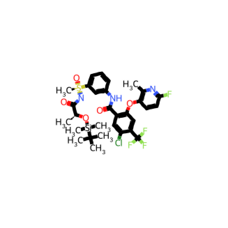 Cc1nc(F)ccc1Oc1cc(C(F)(F)F)c(Cl)cc1C(=O)Nc1cccc([S@@](C)(=O)=NC(=O)[C@@H](C)O[Si](C)(C)C(C)(C)C)c1